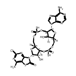 Nc1ncnc2c1ncn2[C@@H]1O[C@@H]2COP(=O)(S)O[C@H]3[C@@H](O)[C@H](n4c(=O)sc5c(N)nc(Cl)nc54)O[C@@H]3COP(=O)(S)O[C@@H]1[C@@H]2O